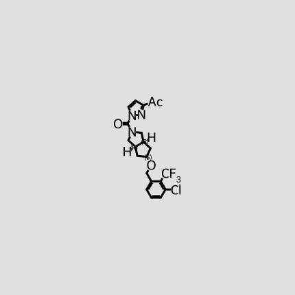 CC(=O)c1ccn(C(=O)N2C[C@H]3C[C@H](OCc4cccc(Cl)c4C(F)(F)F)C[C@H]3C2)n1